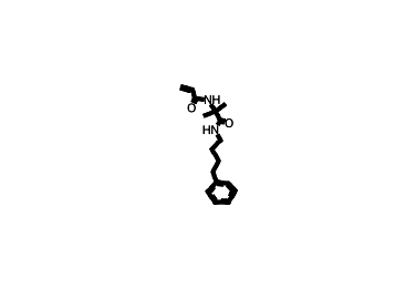 C=CC(=O)NC(C)(C)C(=O)NCCCCc1ccccc1